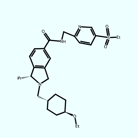 CCO[C@H]1CC[C@H](CN2Cc3cc(C(=O)NCc4ccc(S(=O)(=O)CC)cn4)ccc3[C@H]2C(C)C)CC1